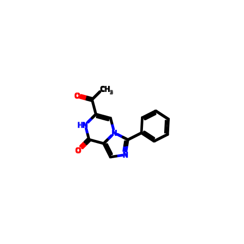 CC(=O)c1cn2c(-c3ccccc3)ncc2c(=O)[nH]1